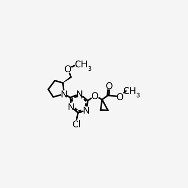 COC[C@@H]1CCCN1c1nc(Cl)nc(OC2(C(=O)OC)CC2)n1